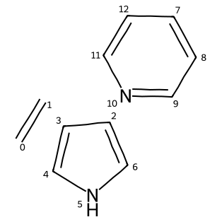 C=C.c1cc[nH]c1.c1ccncc1